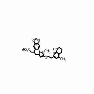 Cc1cc(CCOc2cc(CC(CC(=O)O)c3ccc4c(c3)OCO4)nn2C)nc2c1CCCN2